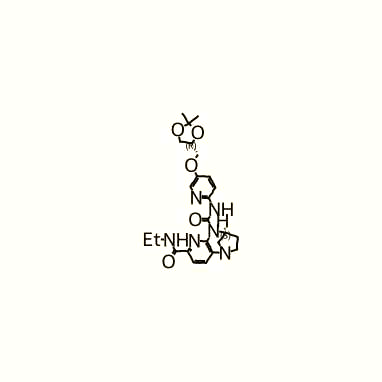 CCNC(=O)c1ccc2c(n1)N(C(=O)Nc1ccc(OC[C@@H]3COC(C)(C)O3)cn1)[C@H]1CCN2C1